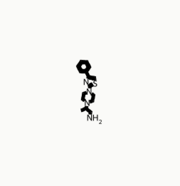 CC(CN)N1CCN(c2nc(-c3ccccc3)cs2)CC1